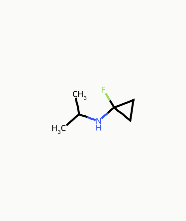 CC(C)NC1(F)CC1